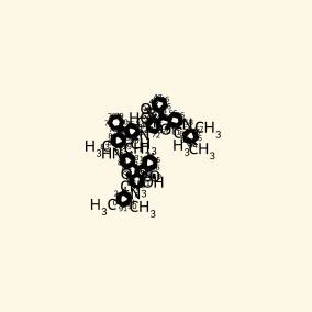 Cc1cc(C)c(/N=c2/ccc3c(-c4ccccc4S(=O)(=O)O)c4ccc(Nc5c(C)cc(C6(c7cc(C)c(Nc8ccc9c(-c%10ccccc%10S(=O)(=O)O)c%10cc/c(=N/c%11c(C)cc(C)cc%11C)cc-%10oc9c8)c(C)c7)CCCCC6)cc5C)cc4oc-3c2)c(C)c1